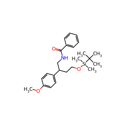 COc1ccc(C(CCO[Si](C)(C)C(C)(C)C)CNC(=O)c2ccccc2)cc1